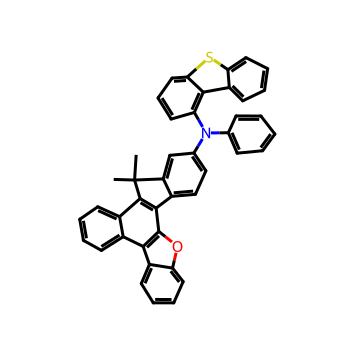 CC1(C)c2cc(N(c3ccccc3)c3cccc4sc5ccccc5c34)ccc2-c2c1c1ccccc1c1c2oc2ccccc21